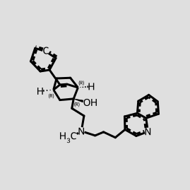 CN(CCCc1cnc2ccccc2c1)CC[C@]1(O)C[C@H]2CC[C@@H]1C=C2c1ccccc1